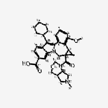 COc1cccc2c1C1CC1(C(=O)N1CCCC3CN(C)CC31)Cn1c-2c(C2CCCCC2)c2ccc(C(=O)O)cc21